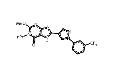 CCCn1c(OC)nc2nc(-c3cnn(-c4cccc(C(F)(F)F)c4)c3)[nH]c2c1=O